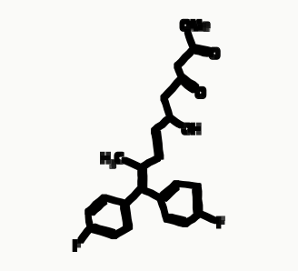 COC(=O)CC(=O)CC(O)C=CC(C)=C(c1ccc(F)cc1)c1ccc(F)cc1